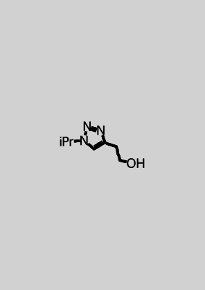 CC(C)n1cc(CCO)nn1